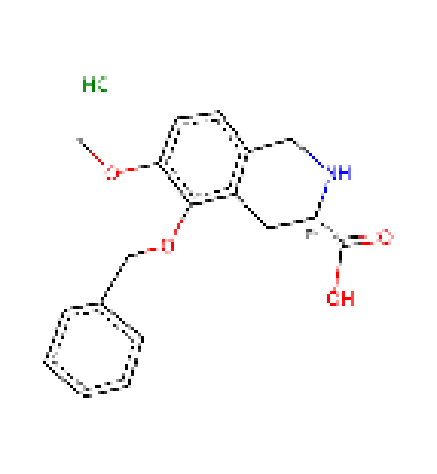 COc1ccc2c(c1OCc1ccccc1)C[C@@H](C(=O)O)NC2.Cl